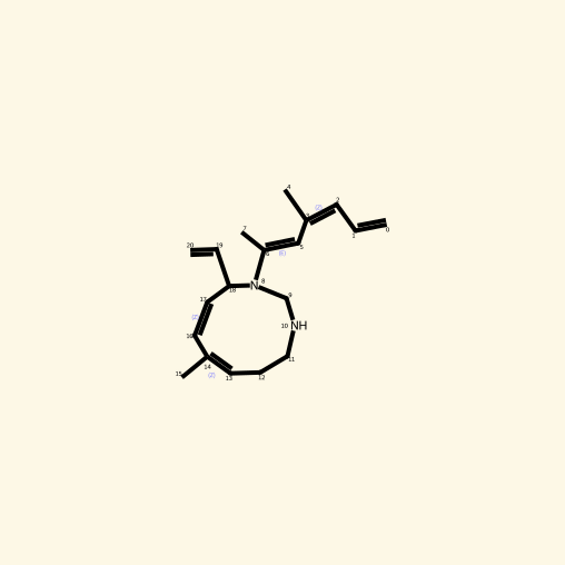 C=C/C=C(C)\C=C(/C)N1CNCC/C=C(C)\C=C/C1C=C